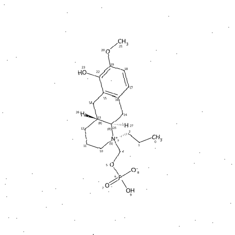 CCC[N@+]1(COP(=O)([O-])O)CCC[C@@H]2Cc3c(ccc(OC)c3O)C[C@H]21